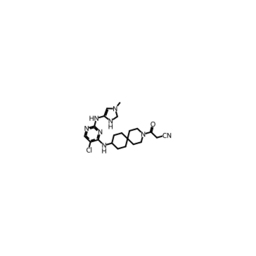 CN1C=C(Nc2ncc(Cl)c(NC3CCC4(CC3)CCN(C(=O)CC#N)CC4)n2)NC1